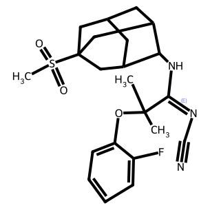 CC(C)(Oc1ccccc1F)/C(=N\C#N)NC1C2CC3CC1CC(S(C)(=O)=O)(C3)C2